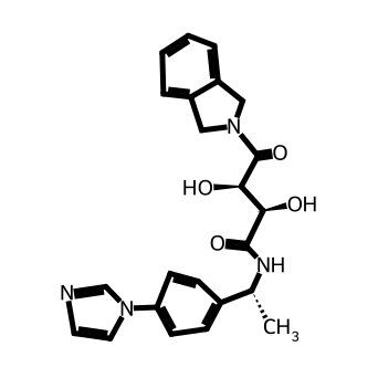 C[C@@H](NC(=O)[C@H](O)[C@@H](O)C(=O)N1Cc2ccccc2C1)c1ccc(-n2ccnc2)cc1